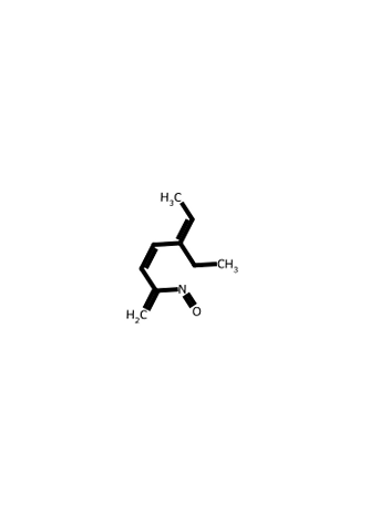 C=C(/C=C\C(=C/C)CC)N=O